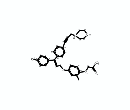 Cc1cc(OC/C=C(/c2ccc(Cl)cc2)c2ccc(C#CCN3CCOCC3)cc2)ccc1OCC(=O)O